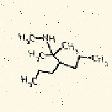 CCCC(CCC)C(C)(C)NC